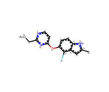 CC(=O)OCc1nccc(Oc2ccc3[nH]c(C)cc3c2F)n1